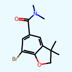 CN(C)C(=O)c1cc(Br)c2c(c1)C(C)(C)CO2